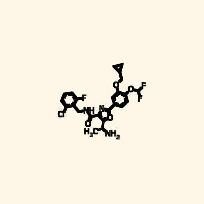 C[C@H](N)c1oc(-c2ccc(OC(F)F)c(OCC3CC3)c2)nc1C(=O)NCc1c(F)cccc1Cl